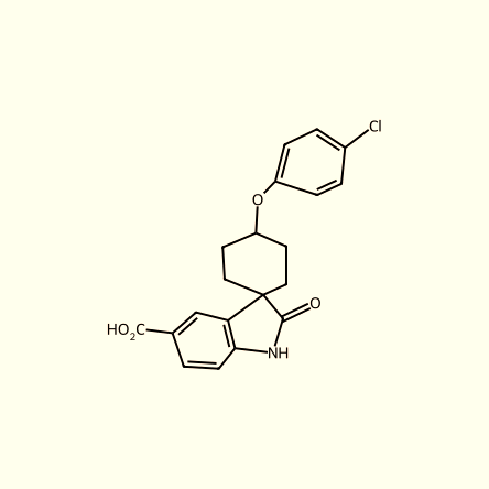 O=C(O)c1ccc2c(c1)C1(CCC(Oc3ccc(Cl)cc3)CC1)C(=O)N2